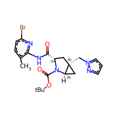 Cc1ccc(Br)nc1NC(=O)[C@@H]1C[C@@]2(Cn3cccn3)C[C@H]2N1C(=O)OC(C)(C)C